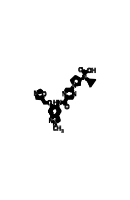 Cn1cc2cc(NC(=O)c3cnc(N4CC[C@@H](N(C(=O)O)C5CC5)C4)cn3)c(OCc3cnco3)cc2n1